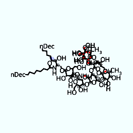 CCCCCCCCCCCCC/C=C/[C@@H](O)[C@H](CO[C@@H]1OC(CO)[C@@H](O[C@@H]2OC(CO)[C@H](O)[C@H](O[C@@H]3OC(CO)[C@@H](O[C@H]4OC(C)[C@@H](O)C(O)[C@@H]4O)[C@H](O[C@@H]4OC(CO)[C@H](O)[C@H](O[C@H]5OC(CO)[C@H](O)[C@H](O)C5NC(C)=O)C4O[C@H]4OC(C)[C@@H](O)C(O)[C@@H]4O)C3NC(C)=O)C2O)[C@H](O)C1O)NC(=O)CCCCCCCCCCCCCCCCC